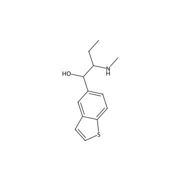 CCC(NC)C(O)c1ccc2sccc2c1